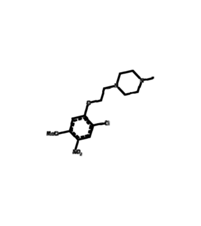 COc1cc(OCCN2CCN(C)CC2)c(Cl)cc1[N+](=O)[O-]